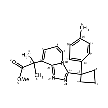 COC(=O)C(C)(C)c1cccn2c(C3(c4ccc(C)cc4)CCC3)nnc12